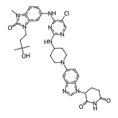 Cn1c(=O)n(CCC(C)(C)O)c2cc(Nc3nc(NC4CCN(c5ccc6c(c5)ncn6C5CCC(=O)NC5=O)CC4)ncc3Cl)ccc21